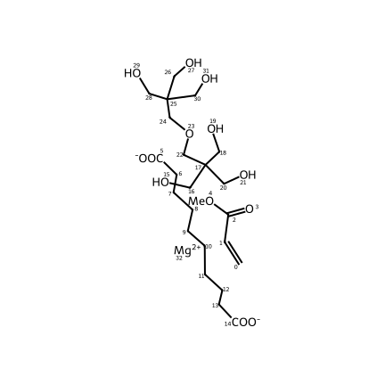 C=CC(=O)OC.O=C([O-])CCCCCCCCC(=O)[O-].OCC(CO)(CO)COCC(CO)(CO)CO.[Mg+2]